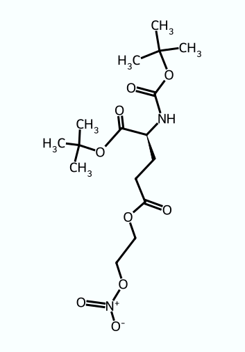 CC(C)(C)OC(=O)N[C@@H](CCC(=O)OCCO[N+](=O)[O-])C(=O)OC(C)(C)C